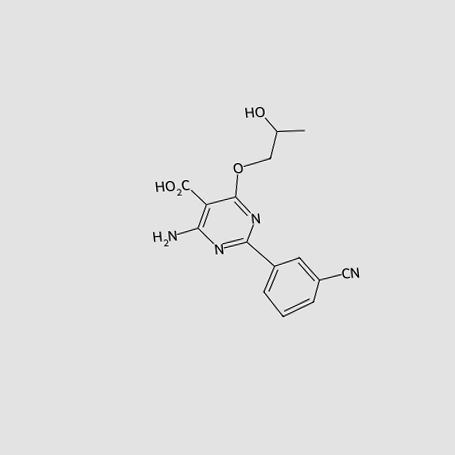 CC(O)COc1nc(-c2cccc(C#N)c2)nc(N)c1C(=O)O